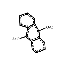 CC(=O)Oc1c2ccccc2c(OC(C)=O)c2ccccc12